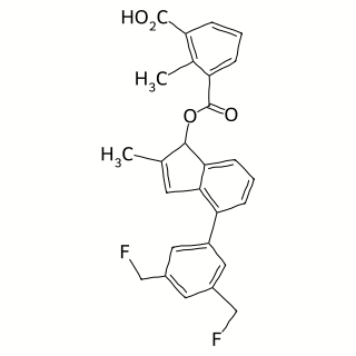 CC1=Cc2c(-c3cc(CF)cc(CF)c3)cccc2C1OC(=O)c1cccc(C(=O)O)c1C